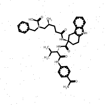 CC(C)[C@H](NC(=O)[C@@]1(NC(=O)CC[C@H](C)CN(Cc2ccccc2)C(=O)O)CCc2[nH]c3ccccc3c2C1)C(=O)Nc1ccc(C(N)=O)cc1